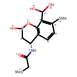 CSCC(=O)N[C@@H]1CB(O)Oc2c1ccc(SC)c2C(O)O